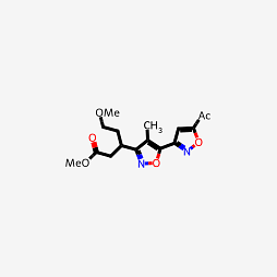 COCCC(CC(=O)OC)c1noc(-c2cc(C(C)=O)on2)c1C